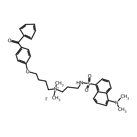 CN(C)c1cccc2c(S(=O)(=O)NCCC[N+](C)(C)CCCCOc3ccc(C(=O)c4ccccc4)cc3)cccc12.[I-]